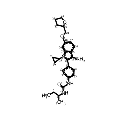 CCC(C)NC(=O)Nc1ccc(-c2c(N)c3ccc(OCC4CCCO4)cc3n2C2CC2)cc1